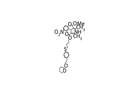 COC(=O)C1=C(C)NC(C)=C(C(=O)OCCCCSc2ccc(CCOC3CCCCO3)cc2)C1c1cccc([N+](=O)[O-])c1